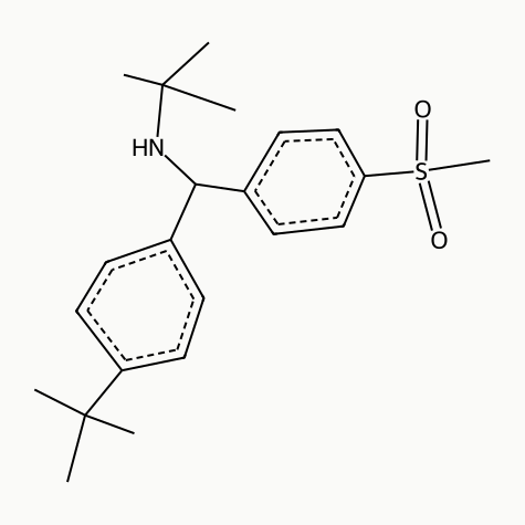 CC(C)(C)NC(c1ccc(C(C)(C)C)cc1)c1ccc(S(C)(=O)=O)cc1